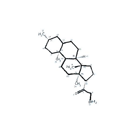 BCC(=O)[C@H]1CC[C@@]2(C)[C@@H]3CCC4C[C@@H](C)CC[C@]4(C)C3CC[C@]12C